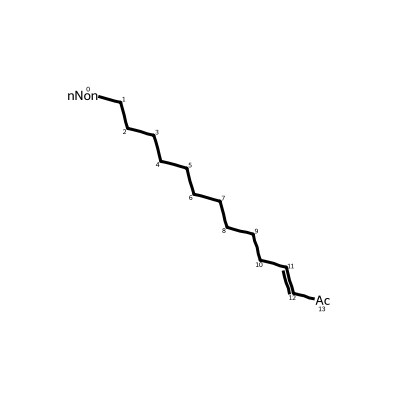 CCCCCCCCCCCCCCCCCCCC=CC(C)=O